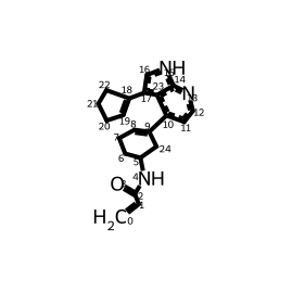 C=CC(=O)NC1CCC=C(c2ccnc3[nH]cc(C4=CCCC4)c23)C1